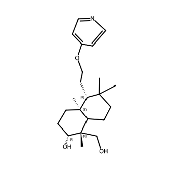 CC1(C)CCC2[C@](C)(CO)[C@H](O)CC[C@@]2(C)[C@@H]1CCOc1ccncc1